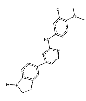 CC(=O)N1CCc2cc(-c3ccnc(Nc4ccc(N(C)C)c(Cl)c4)n3)ccc21